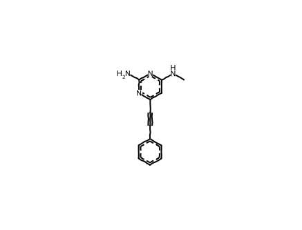 CNc1cc(C#Cc2ccccc2)nc(N)n1